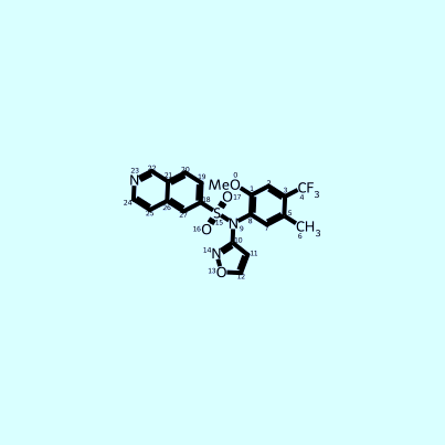 COc1cc(C(F)(F)F)c(C)cc1N(c1ccon1)S(=O)(=O)c1ccc2cnccc2c1